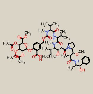 CCC(C)[C@@H]([C@@H](CC(=O)N1CCC[C@H]1[C@H](OC)[C@@H](C)C(=O)N[C@H](C)[C@@H](O)c1ccccc1)OC)N(C)C(=O)[C@@H](NC(=O)[C@H](C(C)C)N(C)C(=O)OCc1ccc(OC2O[C@H](C(=O)OC)[C@@H](OC(C)=O)[C@H](OC(C)=O)[C@H]2OC(C)=O)c(C(=O)O)c1)C(C)C